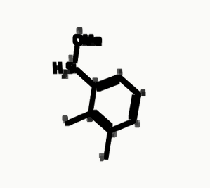 CO[SiH2]c1cccc(C)c1C